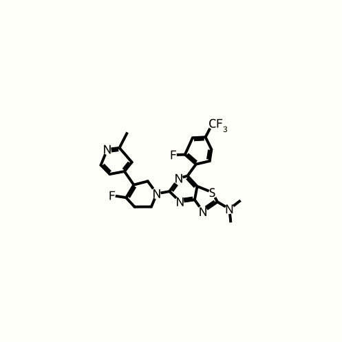 Cc1cc(C2=C(F)CCN(c3nc(-c4ccc(C(F)(F)F)cc4F)c4sc(N(C)C)nc4n3)C2)ccn1